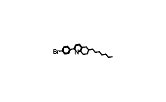 CCCCCCCC1CCc2nc(-c3ccc(Br)cc3)ccc2C1